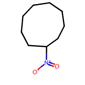 O=[N+]([O-])C1CCCCCCCC1